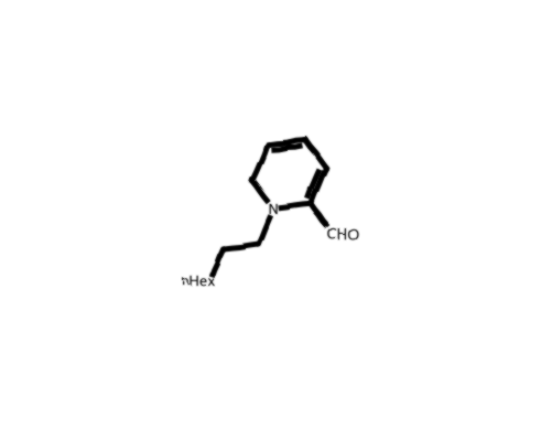 CCCCCCCCN1CC=CC=C1C=O